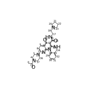 CC(=O)N1CCN(c2ccc3c(=O)c(C(=O)NCCN4CCCC4)c4n(c3n2)-c2ccccc2CN4)CC1